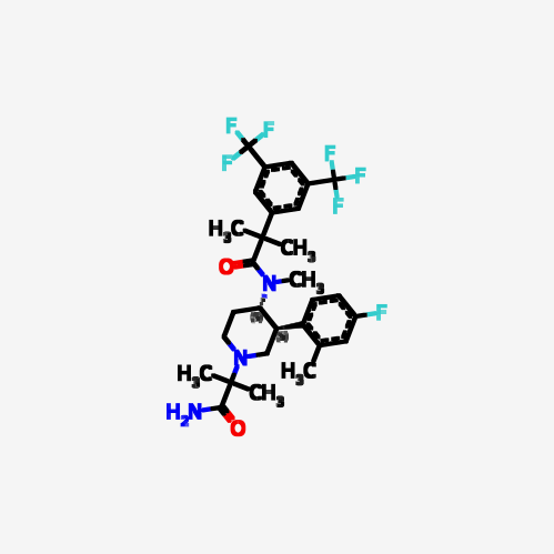 Cc1cc(F)ccc1[C@H]1CN(C(C)(C)C(N)=O)CC[C@@H]1N(C)C(=O)C(C)(C)c1cc(C(F)(F)F)cc(C(F)(F)F)c1